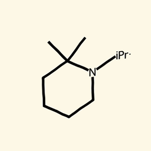 C[C](C)N1CCCCC1(C)C